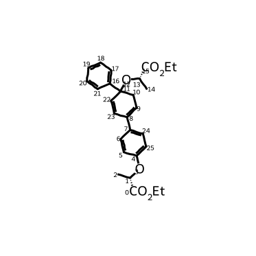 CCOC(=O)[C@H](C)Oc1ccc(C2=CCC(O[C@@H](C)C(=O)OCC)(c3ccccc3)C=C2)cc1